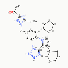 CCCCc1nc(C(=O)CCC)nn1Cc1ccc(-n2c(C3CCCCC3)cc(C3CCCCC3)c2-c2nnn[nH]2)cc1